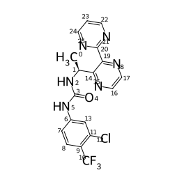 C[C@H](NC(=O)Nc1ccc(C(F)(F)F)c(Cl)c1)c1nccnc1-c1ncccn1